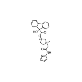 C[N+]1(CC(=O)Nc2ccon2)CC[C@@H](OC(=O)C2(O)c3ccccc3-c3ccccc32)C1